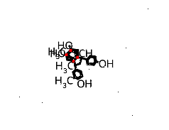 Cc1cc(C(C)(CC(C)(c2ccc(O)cc2)c2ccc(O)cc2)c2ccc(O)c(C)c2)ccc1O